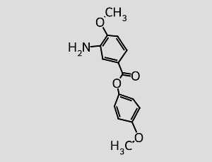 COc1ccc(OC(=O)c2ccc(OC)c(N)c2)cc1